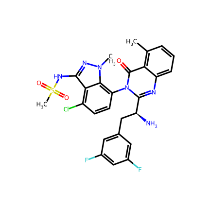 Cc1cccc2nc([C@@H](N)Cc3cc(F)cc(F)c3)n(-c3ccc(Cl)c4c(NS(C)(=O)=O)nn(C)c34)c(=O)c12